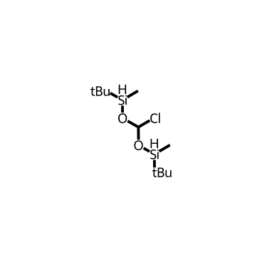 C[SiH](OC(Cl)O[SiH](C)C(C)(C)C)C(C)(C)C